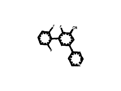 N#Cc1cc(-c2ccncc2)cc(-c2c(F)cccc2F)c1F